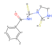 Cc1cccc(C(=O)NC(=S)N2CCNC2=S)c1